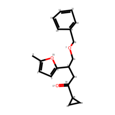 Cc1ccc(C(COCc2ccccc2)CC(=O)C2CC2)o1